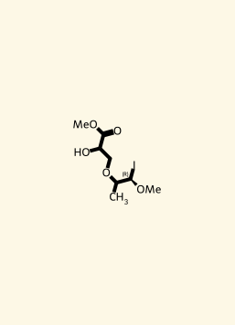 COC(=O)C(O)COC(C)[C@@H](I)OC